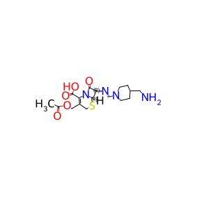 CC(=O)OCC1=C(C(=O)O)N2C(=O)[C@@H](N=CN3CCC(CN)CC3)[C@H]2SC1